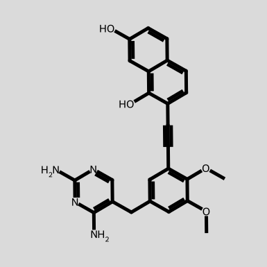 COc1cc(Cc2cnc(N)nc2N)cc(C#Cc2ccc3ccc(O)cc3c2O)c1OC